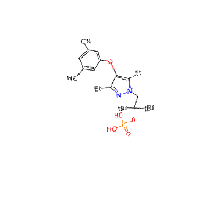 CCc1nn(CC(OP(=O)(O)O)(C(C)(C)C)C(C)(C)C)c(CC)c1Oc1cc(C#N)cc(C#N)c1